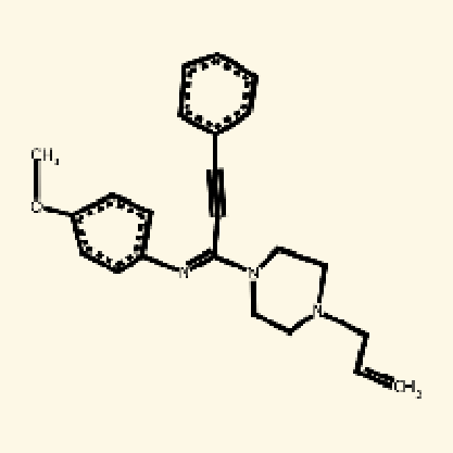 C=CCN1CCN(C(C#Cc2ccccc2)=Nc2ccc(OC)cc2)CC1